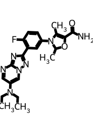 CCN(CC)c1cnc2nc(-c3cc(N4C(C)=C(C(N)=O)OC4C)ccc3F)nn2c1